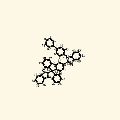 c1ccc(-c2ccc(-n3c(-c4ccc5c(c4)-c4ccccc4C54c5ccccc5-c5c4sc4ccccc54)nc4ccccc43)cc2)cc1